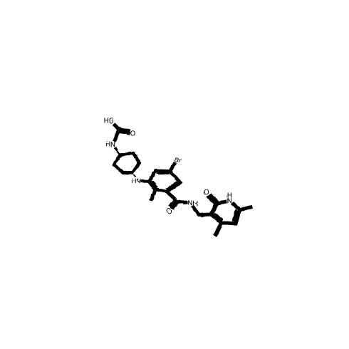 Cc1cc(C)c(CNC(=O)c2cc(Br)cc(N[C@H]3CC[C@H](NC(=O)O)CC3)c2C)c(=O)[nH]1